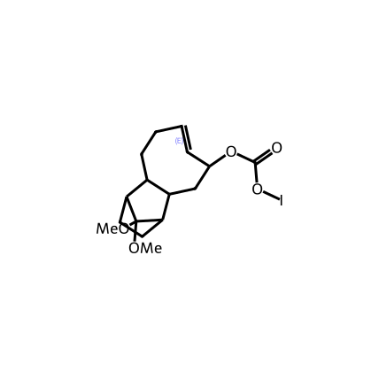 COC1(OC)C2CCC1C1CC(OC(=O)OI)/C=C/CCC12